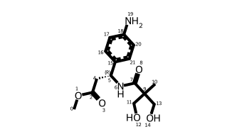 COC(=O)C[C@@H](NC(=O)C(C)(CO)CO)c1ccc(N)cc1